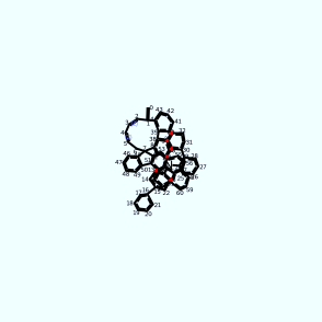 C=C1/C=C\C=C/CC2(c3cc(N(c4ccc(-c5ccccc5)cc4)c4ccccc4-c4ccccc4)ccc3-c3ccccc31)c1ccccc1-c1c2cc2ccc3cccc4ccc1c2c34